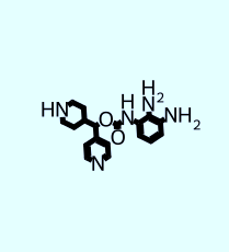 Nc1cccc(NC(=O)OC(c2ccncc2)C2CCNCC2)c1N